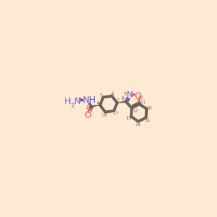 NNC(=O)[C@H]1CC[C@@H](c2noc3c2CCCC3)CC1